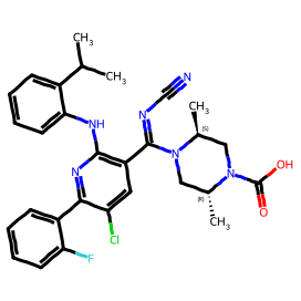 CC(C)c1ccccc1Nc1nc(-c2ccccc2F)c(Cl)cc1C(=NC#N)N1C[C@@H](C)N(C(=O)O)C[C@@H]1C